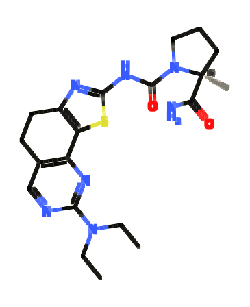 CCN(CC)c1ncc2c(n1)-c1sc(NC(=O)N3CCC[C@@]3(C)C(N)=O)nc1CC2